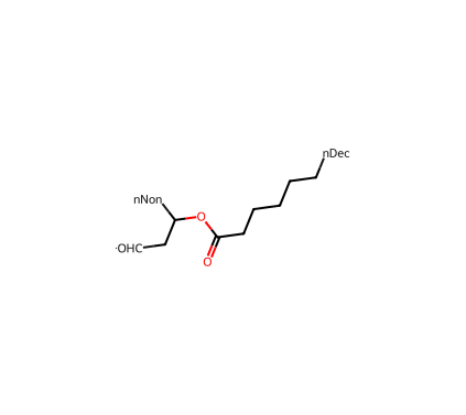 CCCCCCCCCCCCCCCC(=O)OC(C[C]=O)CCCCCCCCC